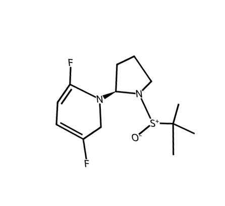 CC(C)(C)[S+]([O-])N1CCC[C@@H]1N1CC(F)=CC=C1F